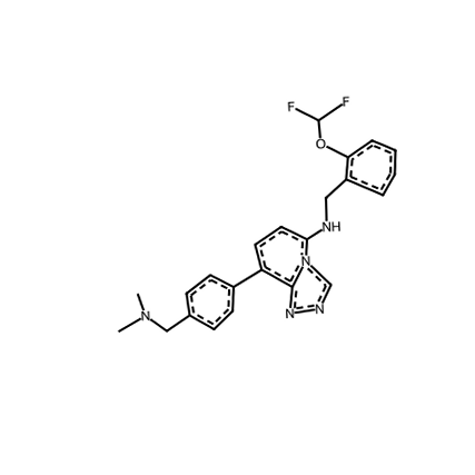 CN(C)Cc1ccc(-c2ccc(NCc3ccccc3OC(F)F)n3cnnc23)cc1